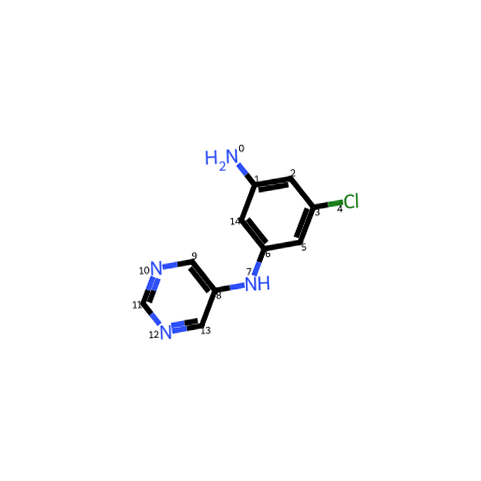 Nc1cc(Cl)cc(Nc2cncnc2)c1